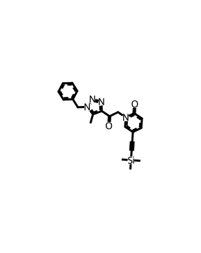 Cc1c(C(=O)Cn2cc(C#C[Si](C)(C)C)ccc2=O)nnn1Cc1ccccc1